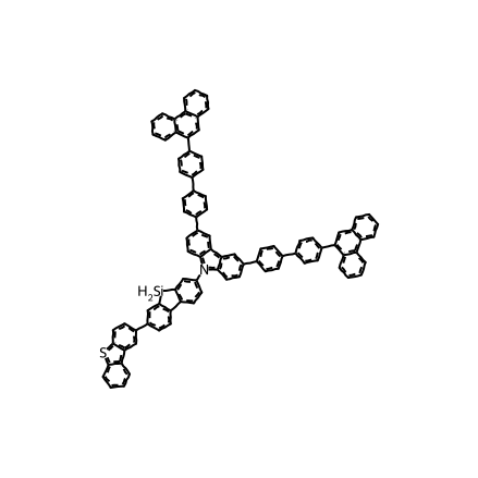 c1ccc2c(c1)cc(-c1ccc(-c3ccc(-c4ccc5c(c4)c4cc(-c6ccc(-c7ccc(-c8cc9ccccc9c9ccccc89)cc7)cc6)ccc4n5-c4ccc5c(c4)[SiH2]c4cc(-c6ccc7sc8ccccc8c7c6)ccc4-5)cc3)cc1)c1ccccc12